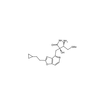 CSC[C@H](N)[C@](O)(Cc1nccc2oc(CCC3CC3)cc12)C(N)=O